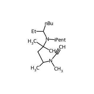 C#CN(C)C(C)CC(C)(C)N(C(C)CCC)C(CC)CCCC